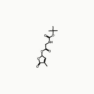 CC1=CC(OC(=O)CNC(=O)OC(C)(C)C)OC1=O